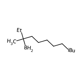 BC(C)(CC)CCCCCC(C)CC